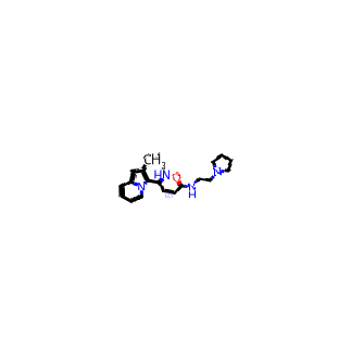 Cc1cc2ccccn2c1C(=N)/C=C\C(=O)NCCN1CCCC1